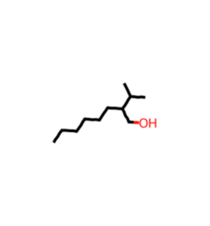 CCCCCCC(CO)C(C)C